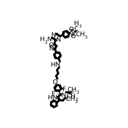 CC(C)S(=O)(=O)c1ccc(-c2cnc(N)c(-c3cc(-c4ccc(CNCCCCCOc5cc(F)c([C@@H]6c7[nH]c8ccccc8c7C[C@@H](C)N6CC(C)(C)F)c(F)c5)cc4)no3)n2)cc1